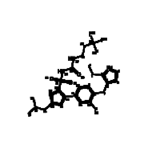 CCc1nccn1Cc1ccc(-c2cc(CC(C)C)sc2S(=O)(=O)NC(=O)NCCC(F)(F)F)cc1F